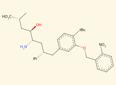 CC(C)[C@@H](Cc1ccc(C(C)(C)C)c(OCc2ccccc2[N+](=O)[O-])c1)C[C@H](N)[C@H](O)C[C@@H](C)C(=O)O